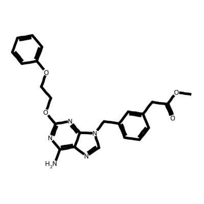 COC(=O)Cc1cccc(Cn2cnc3c(N)nc(OCCOc4ccccc4)nc32)c1